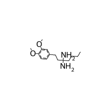 CCCCC(N)(N)CCc1ccc(OC)c(OC)c1